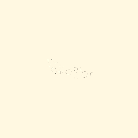 CC(C)(C)n1cnc(C(=O)Nc2ccc(NC(=O)c3ccc(F)cc3Cl)cc2)c1C(N)=O